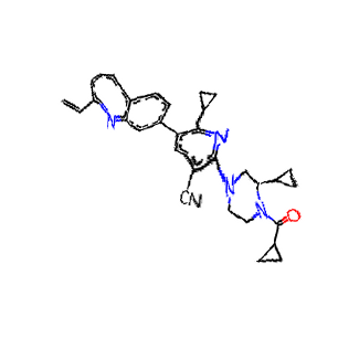 C=Cc1ccc2ccc(-c3cc(C#N)c(N4CCN(C(=O)C5CC5)[C@H](C5CC5)C4)nc3C3CC3)cc2n1